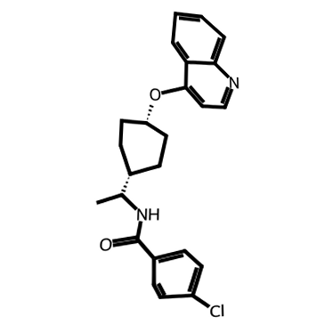 CC(NC(=O)c1ccc(Cl)cc1)[C@H]1CC[C@@H](Oc2ccnc3ccccc23)CC1